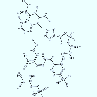 CC1(C)OC(c2ccco2)CN1C(=O)C(Cl)Cl.CCOc1cc(Oc2ccc(C(F)(F)F)cc2Cl)ccc1[N+](=O)[O-].CCc1cccc(C)c1N(C(=O)CCl)C(C)COC.CP(=O)(O)CCC(N)C(=O)O